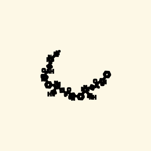 CN1CC(c2cn([C@H]3C[C@H](NC(=O)c4cc(-c5cccc(-c6nnn([C@H]7C[C@H](N(C)C(=O)c8cc(-c9cccc(-c%10nnn([C@H]%11C[C@H](N(C)C(=O)c%12cc(-c%13ccccc%13)no%12)C%11)c%10C%10CNC%10)c9)no8)C7)c6C6CNC6)c5)no4)C3)nn2)C1